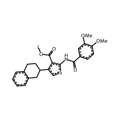 COc1ccc(C(=O)Nc2scc(C3CCc4ccccc4C3)c2C(=O)OI)cc1OC